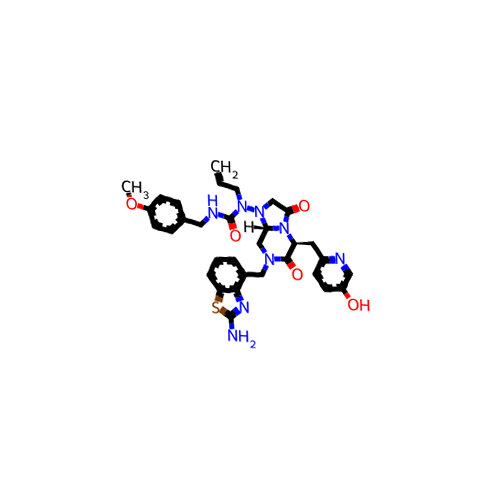 C=CCN(C(=O)NCc1ccc(OC)cc1)N1CC(=O)N2[C@@H](Cc3ccc(O)cn3)C(=O)N(Cc3cccc4sc(N)nc34)C[C@@H]21